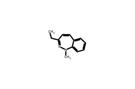 CCC1=NN(C)c2ccccc2C=C1